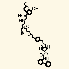 O=C(Nc1ccccc1-c1ccccc1)OC1C[C@@H]2CN(Cc3ccc(CCOCCC(=O)N(CCNC[C@H](O)c4ccc(O)c5[nH]c(=O)ccc45)CC4CC4)cc3)C[C@@H]2C1